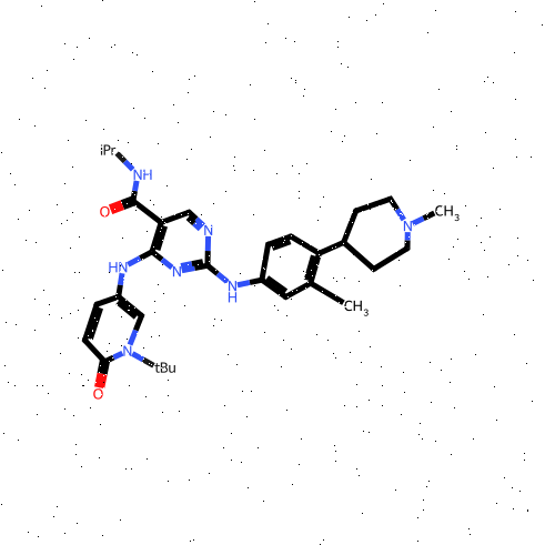 Cc1cc(Nc2ncc(C(=O)NC(C)C)c(Nc3ccc(=O)n(C(C)(C)C)c3)n2)ccc1C1CCN(C)CC1